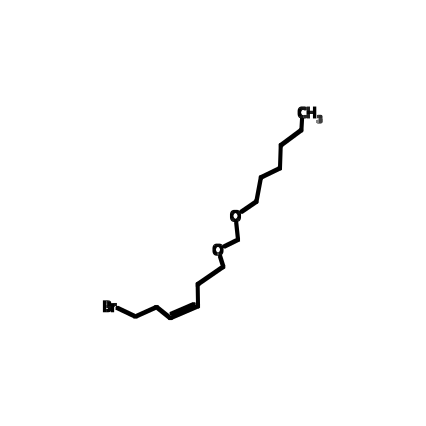 CCCCCCOCOCC/C=C\CCBr